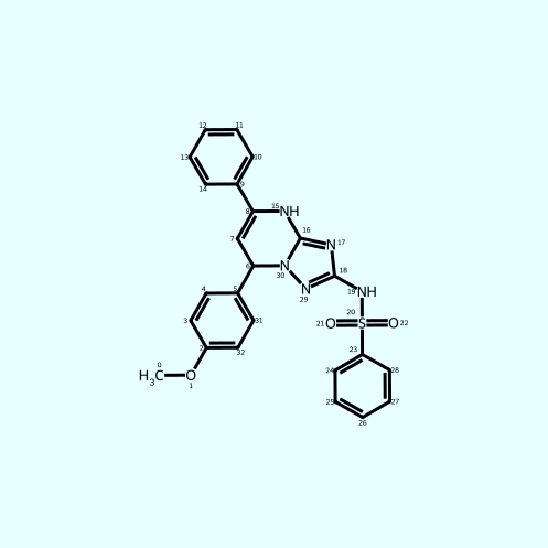 COc1ccc(C2C=C(c3ccccc3)Nc3nc(NS(=O)(=O)c4ccccc4)nn32)cc1